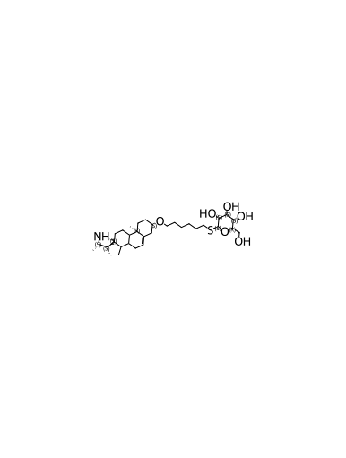 C[C@H](N)[C@H]1CCC2C3CC=C4C[C@@H](OCCCCCCS[C@@H]5O[C@H](CO)[C@@H](O)[C@H](O)[C@@H]5O)CC[C@]4(C)C3CC[C@@]21C